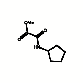 COC(=O)C(=O)NC1CCCC1